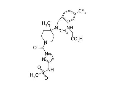 CN(Cc1ccc(C(F)(F)F)cc1NCC(=O)O)C1(C)CCN(C(=O)n2ccc(NS(C)(=O)=O)n2)CC1